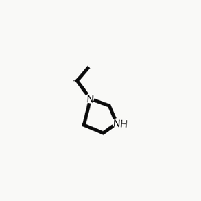 C[CH]N1CCNC1